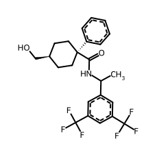 CC(NC(=O)[C@]1(c2ccccc2)CC[C@H](CO)CC1)c1cc(C(F)(F)F)cc(C(F)(F)F)c1